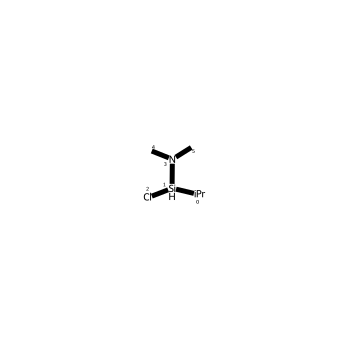 CC(C)[SiH](Cl)N(C)C